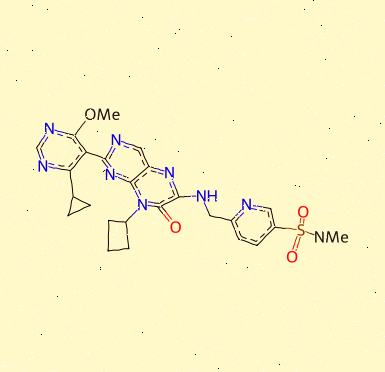 CNS(=O)(=O)c1ccc(CNc2nc3cnc(-c4c(OC)ncnc4C4CC4)nc3n(C3CCC3)c2=O)nc1